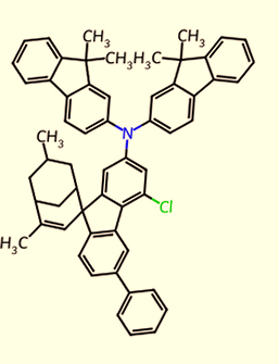 CC1=CC2(c3ccc(-c4ccccc4)cc3-c3c(Cl)cc(N(c4ccc5c(c4)C(C)(C)c4ccccc4-5)c4ccc5c(c4)C(C)(C)c4ccccc4-5)cc32)C2CC(C)CC1C2